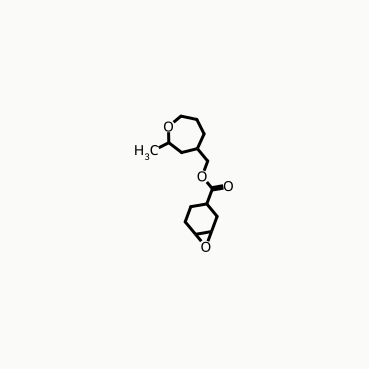 CC1CC(COC(=O)C2CCC3OC3C2)CCCO1